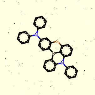 c1ccc(N(c2ccccc2)c2ccc3c(c2)Sc2cccc4c2B3c2ccccc2N4c2ccccc2)cc1